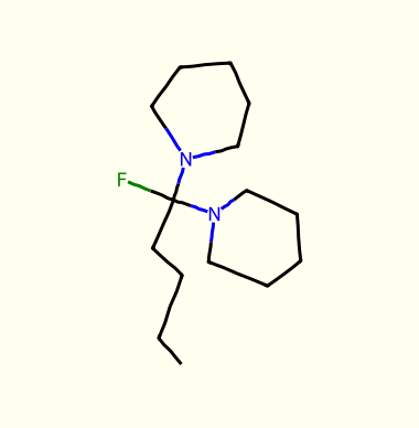 CCCCC(F)(N1CCCCC1)N1CCCCC1